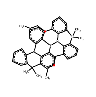 CCCCc1cccc2c1N(B1c3ccccc3N3c4ccccc4C(C)(C)c4cccc1c43)c1c(CCCC)cccc1S2(C)C